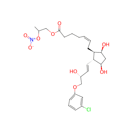 CC(COC(=O)CCC/C=C\C[C@@H]1[C@@H](/C=C/[C@@H](O)COc2cccc(Cl)c2)[C@H](O)C[C@@H]1O)O[N+](=O)[O-]